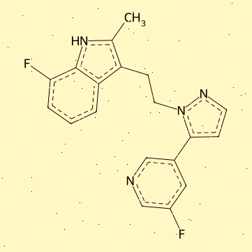 Cc1[nH]c2c(F)cccc2c1CCn1nccc1-c1cncc(F)c1